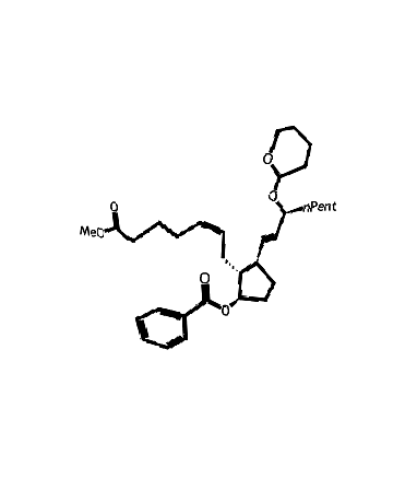 CCCCC[C@@H](/C=C/[C@H]1CC[C@@H](OC(=O)c2ccccc2)[C@@H]1C/C=C\CCCC(=O)OC)OC1CCCCO1